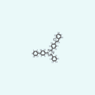 c1ccc(-c2ccc(-c3nc(-c4ccccc4)nc(-c4ccc(-c5cc6ccccc6o5)cc4)n3)cc2)cc1